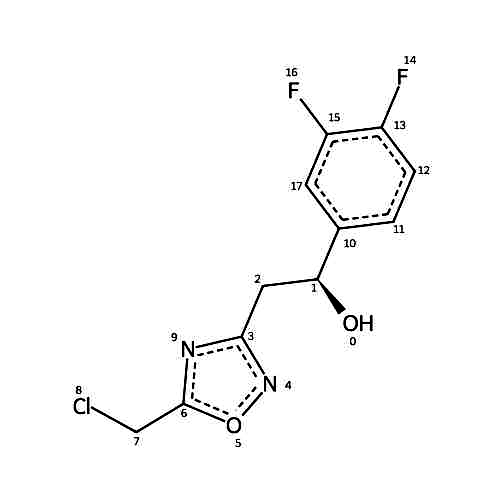 O[C@@H](Cc1noc(CCl)n1)c1ccc(F)c(F)c1